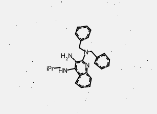 CC(C)CNc1c(N)c(N(Cc2ccccc2)Cc2ccccc2)nc2ccccc12